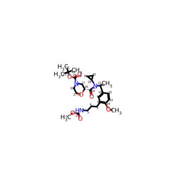 COC(=O)NCCCc1cc(C(C)N(C(=O)[C@H]2CN(C(=O)OC(C)(C)C)CCO2)C2CC2)ccc1OC